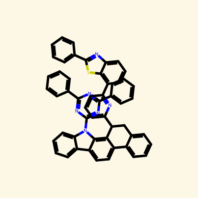 c1ccc(-c2nc(-c3ccccc3)nc(-n3c4ccccc4c4ccc5c(c43)C(c3cccc(-c4cccc6nc(-c7ccccc7)sc46)n3)Cc3ccccc3-5)n2)cc1